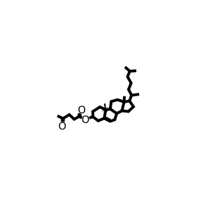 CC(=O)CCC(=O)OC1CC[C@@]2(C)C(=CCC3C4CCC(C(C)CCCC(C)C)C4(C)CCC32)C1